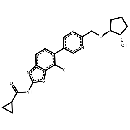 O=C(Nc1nc2ccc(-c3cnc(CO[C@H]4CCC[C@@H]4O)nc3)c(Cl)c2s1)C1CC1